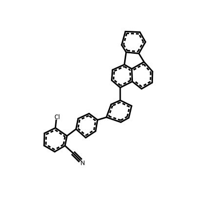 N#Cc1cccc(Cl)c1-c1ccc(-c2cccc(-c3ccc4c5c(cccc35)-c3ccccc3-4)c2)cc1